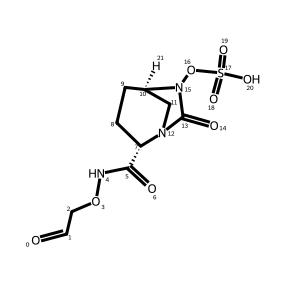 O=CCONC(=O)[C@@H]1CC[C@@H]2CN1C(=O)N2OS(=O)(=O)O